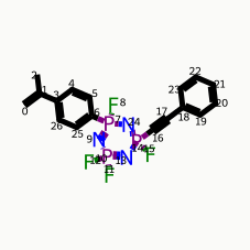 C=C(C)c1ccc(P2(F)=NP(F)(F)=NP(F)(C#Cc3ccccc3)=N2)cc1